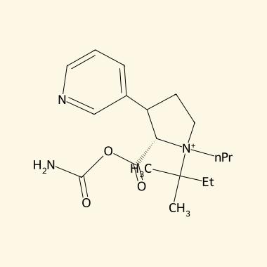 CCC[N+]1(C(C)(C)CC)CCC(c2cccnc2)[C@H]1C(=O)OC(N)=O